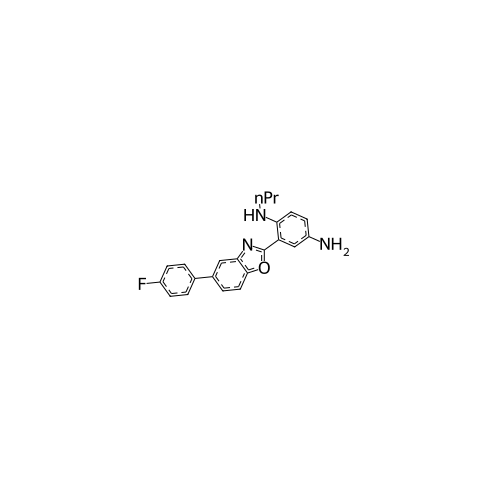 CCCNc1ccc(N)cc1-c1nc2cc(-c3ccc(F)cc3)ccc2o1